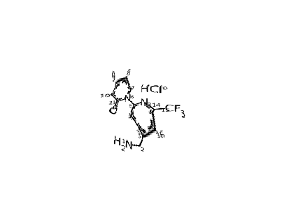 Cl.NCc1cc(-n2ccccc2=O)nc(C(F)(F)F)c1